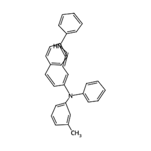 Cc1cccc(N(C(/C=C\c2ccccc2)=C/C=C/Nc2ccccc2)c2ccccc2)c1